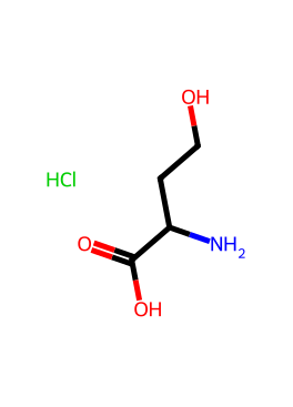 Cl.NC(CCO)C(=O)O